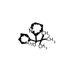 CC(C)(C)C(O)(c1ccccn1)c1ccccn1